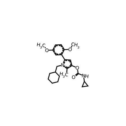 COc1ccc(OC)c(-c2cc(OC(=O)NC3CC3)c(C)n2CC2CCCCC2)c1